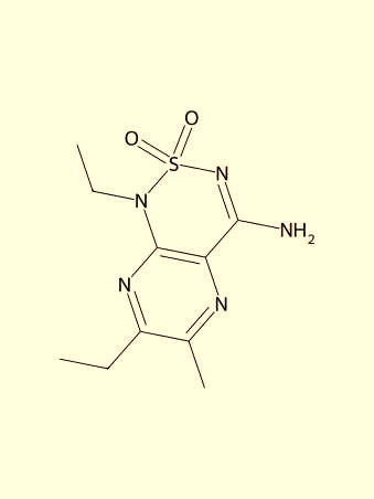 CCc1nc2c(nc1C)C(N)=NS(=O)(=O)N2CC